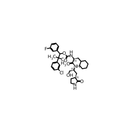 CC(C)(c1cccc(Cl)c1)C(OC(=O)N[C@@H](CC1CCCCC1)C(=O)N[C@H](CO)C[C@@H]1CCNC1=O)c1cccc(F)c1